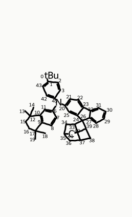 CC(C)(C)c1ccc(N(c2ccc3c(c2)C(C)(C)CCC3(C)C)c2ccc3c(c2)C2(c4ccccc4-3)C3CC4CC5CC2C53C4)cc1